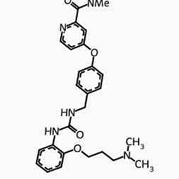 CNC(=O)c1cc(Oc2ccc(CNC(=O)Nc3ccccc3OCCCN(C)C)cc2)ccn1